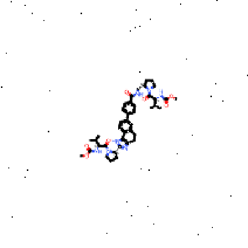 COC(=O)N[C@H](C(=O)N1CCC[C@H]1CNC(=O)c1ccc(-c2ccc3c(c2)CCc2nc([C@@H]4CCCN4C(=O)[C@@H](NC(=O)OC)C(C)C)[nH]c2-3)cc1)C(C)C